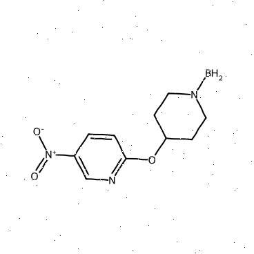 BN1CCC(Oc2ccc([N+](=O)[O-])cn2)CC1